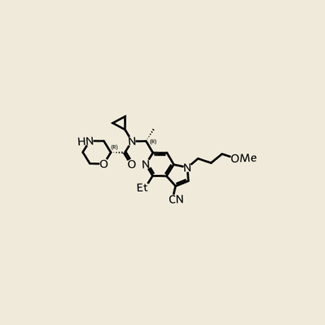 CCc1nc([C@@H](C)N(C(=O)[C@H]2CNCCO2)C2CC2)cc2c1c(C#N)cn2CCCOC